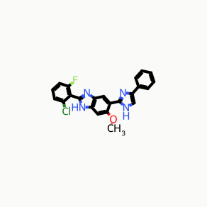 COc1cc2[nH]c(-c3c(F)cccc3Cl)nc2cc1-c1nc(-c2ccccc2)c[nH]1